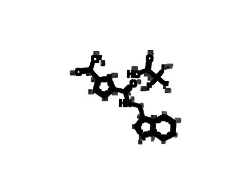 O=C(NCc1cnn2ccccc12)c1ccc(C(=O)C(F)(F)F)s1.O=C(O)C(F)(F)F